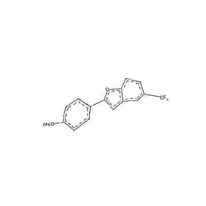 COc1ccc(-c2cc3cc(C(F)(F)F)ccc3o2)cc1